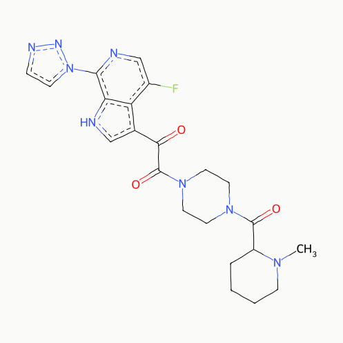 CN1CCCCC1C(=O)N1CCN(C(=O)C(=O)c2c[nH]c3c(-n4ccnn4)ncc(F)c23)CC1